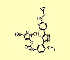 Cc1ccc(NC(=O)Oc2cc(C(C)(C)C)nn2C)cc1-n1cc(-c2ccc(NCC3CC3)nc2)nn1